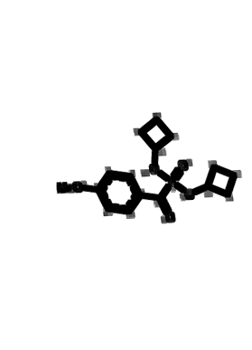 COc1ccc(C(=O)P(=O)(OC2CCC2)OC2CCC2)cc1